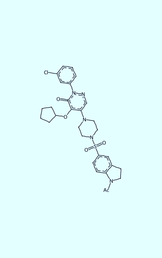 CC(=O)N1CCc2cc(S(=O)(=O)N3CCN(c4cnn(-c5cccc(Cl)c5)c(=O)c4OC4CCCC4)CC3)ccc21